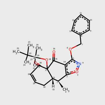 C[C@@H]1c2onc(OCc3ccccc3)c2C(=O)C2(O[Si](C)(C)C(C)(C)C)C(=O)C=CC[C@@H]12